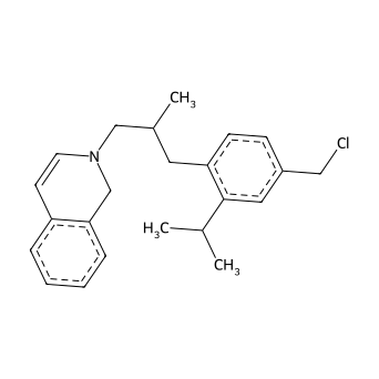 CC(Cc1ccc(CCl)cc1C(C)C)CN1C=Cc2ccccc2C1